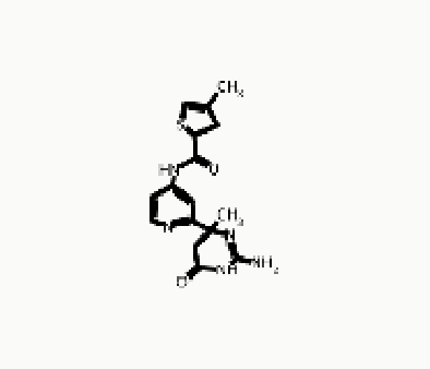 CC1=CSC(C(=O)Nc2ccnc(C3(C)CC(=O)NC(N)=N3)c2)C1